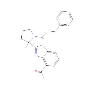 CC1(c2nc3c(C(N)=O)cccc3[nH]2)CCCN1C(=O)OCc1ccccc1